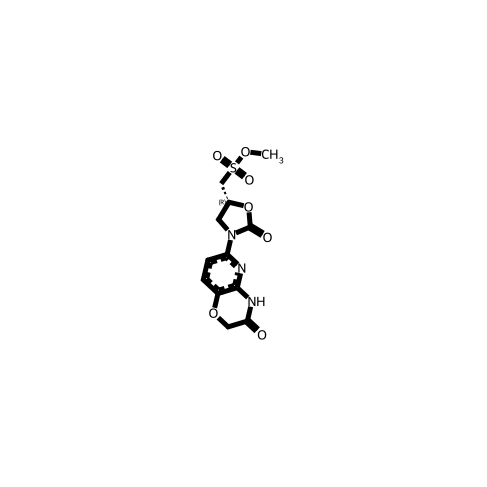 COS(=O)(=O)C[C@H]1CN(c2ccc3c(n2)NC(=O)CO3)C(=O)O1